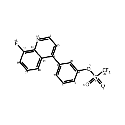 O=S(=O)(Oc1cccc(-c2ccnc3c(F)cccc23)c1)C(F)(F)F